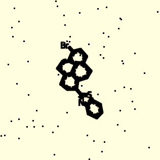 Brc1ccc2ccc3c(-c4nc5ccccc5s4)ccc4ccc1c2c43